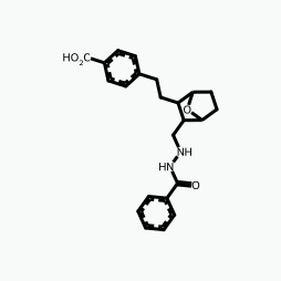 O=C(O)c1ccc(CCC2C3CCC(O3)C2CNNC(=O)c2ccccc2)cc1